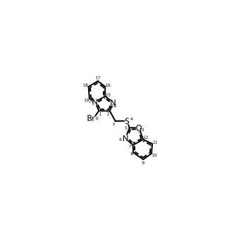 Brc1c(CSc2nc3ccccc3o2)nc2ccccn12